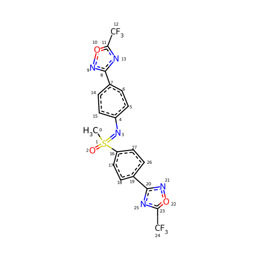 CS(=O)(=Nc1ccc(-c2noc(C(F)(F)F)n2)cc1)c1ccc(-c2noc(C(F)(F)F)n2)cc1